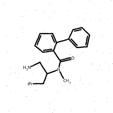 CC(C)CC(CN)N(C)C(=O)c1ccccc1-c1ccccc1